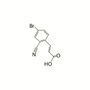 N#Cc1cc(Br)ccc1C=CC(=O)O